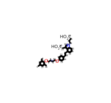 Cc1cc(C)c(OC/C=C/COc2ccc(C=Cc3cccc4c3c(CC(=O)O)cn4CCCC(=O)O)cc2)c(C)c1